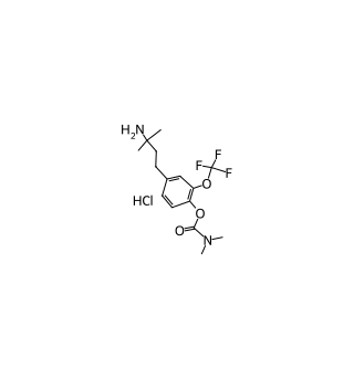 CN(C)C(=O)Oc1ccc(CCC(C)(C)N)cc1OC(F)(F)F.Cl